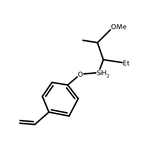 C=Cc1ccc(O[SiH2]C(CC)C(C)OC)cc1